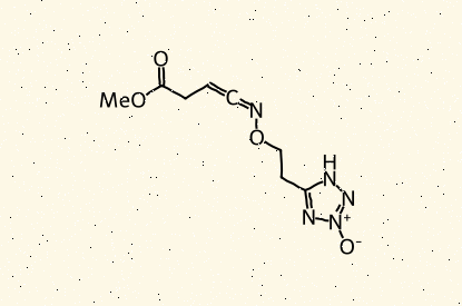 COC(=O)CC=C=NOCCc1n[n+]([O-])n[nH]1